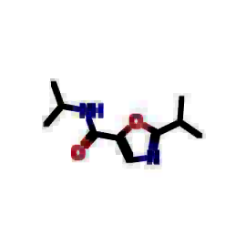 CC(C)NC(=O)c1cnc(C(C)C)o1